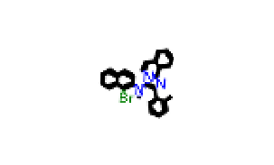 Cc1ccccc1-c1nc2c3ccccc3ccn2c1N(C)c1ccc2ccccc2c1Br